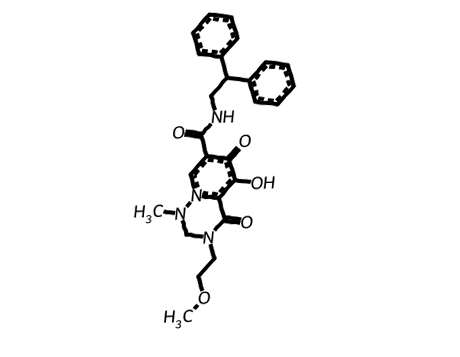 COCCN1CN(C)n2cc(C(=O)NCC(c3ccccc3)c3ccccc3)c(=O)c(O)c2C1=O